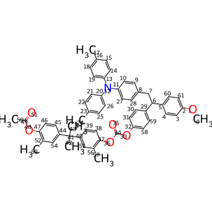 COc1ccc(C(Cc2ccc(N(c3ccc(C)cc3)c3ccc(C)cc3)cc2)c2ccc(OC(=O)Oc3ccc(C(C)(C)c4ccc(OC(C)=O)c(C)c4)cc3C)cc2)cc1